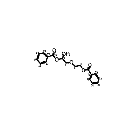 O=C(OCCOCC(O)OC(=O)c1ccccc1)c1ccccc1